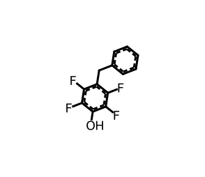 Oc1c(F)c(F)c(Cc2ccccc2)c(F)c1F